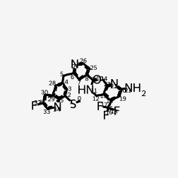 CSc1cc(Cc2cc(C(=O)NCc3c(C(F)(F)F)cc(N)nc3C)ccn2)cc2cc(F)cnc12